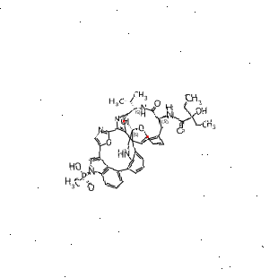 CCC(O)(CC)C(=O)N[C@H]1Cc2ccc3c(c2)C24c5cccc(c5N[C@H]2O3)-c2cccc3c2c(cn3P(C)(=O)O)-c2cnc(o2)-c2nc(oc24)[C@H](C(C)C)NC1=O